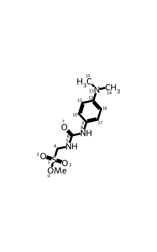 COS(=O)(=O)CNC(=O)Nc1ccc(N(C)C)cc1